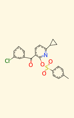 Cc1ccc(S(=O)(=O)Oc2nc(C3CC3)ccc2C(=O)c2cccc(Cl)c2)cc1